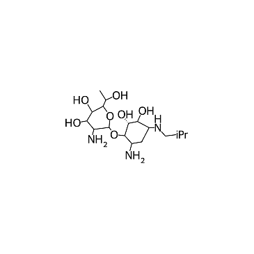 CC(C)CNC1CC(N)C(OC2OC(C(C)O)C(O)C(O)C2N)[C@H](O)C1O